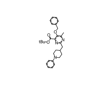 Cc1nc(CC2CCN(c3ccccc3)CC2)nc(C(=O)OC(C)(C)C)c1OCc1ccccc1